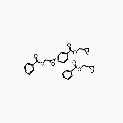 O=C(OCC1CO1)c1ccccc1.O=C(OCC1CO1)c1ccccc1.O=C(OCC1CO1)c1ccccc1